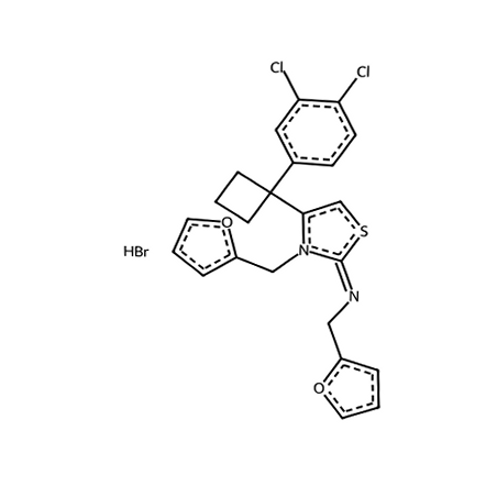 Br.Clc1ccc(C2(c3csc(=NCc4ccco4)n3Cc3ccco3)CCC2)cc1Cl